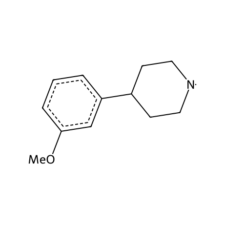 COc1cccc(C2CC[N]CC2)c1